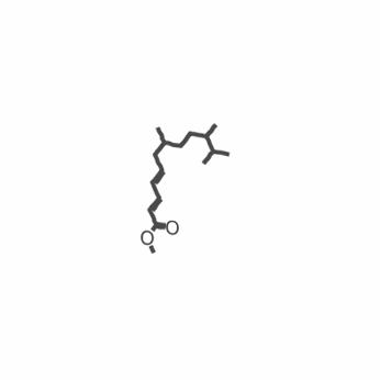 COC(=O)C=CC=CCC(C)CCC(C)C(C)C